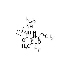 COC(=O)N[C@H](C(=O)NC1(CNC(=O)I)CCC1)C(C)C